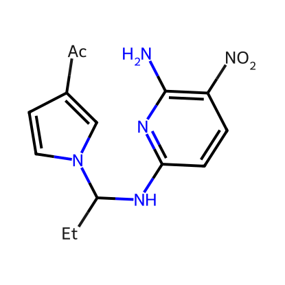 [CH2]CC(Nc1ccc([N+](=O)[O-])c(N)n1)n1ccc(C(C)=O)c1